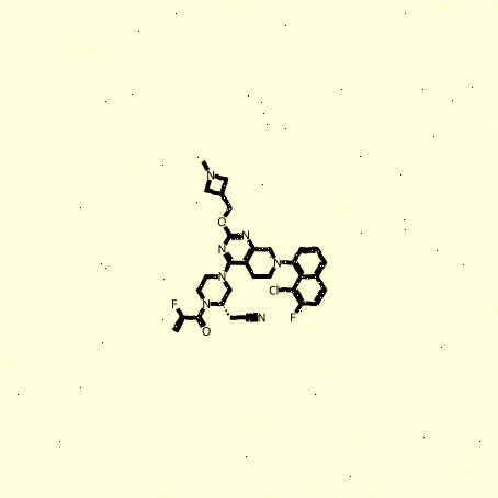 C=C(F)C(=O)N1CCN(c2nc(OCC3CN(C)C3)nc3c2CCN(c2cccc4ccc(F)c(Cl)c24)C3)C[C@@H]1CC#N